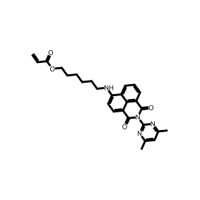 C=CC(=O)OCCCCCCNc1ccc2c3c(cccc13)C(=O)N(c1nc(C)cc(C)n1)C2=O